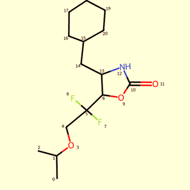 CC(C)OCC(F)(F)C1OC(=O)NC1CC1CCCCC1